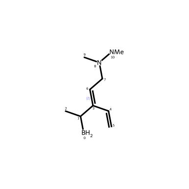 BC(C)/C(C=C)=C/CN(C)NC